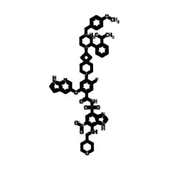 COc1ccc(CN2CCN(C3CC4(CCN(c5cc(Oc6cnc7[nH]ccc7c6)c(C(=O)NS(=O)(=O)c6cc([N+](=O)[O-])c(NCC7CCOCC7)c7[nH]cnc67)cc5F)CC4)C3)C(c3ccccc3C(C)C)C2)cc1